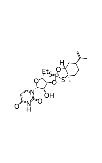 C=C(C)[C@H]1CC[C@@]2(C)S[P@](=S)(O[C@H]3[C@@H](O)[C@H](n4ccc(=O)[nH]c4=O)O[C@@H]3CC)O[C@@H]2C1